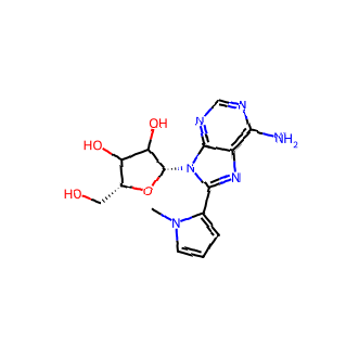 Cn1cccc1-c1nc2c(N)ncnc2n1[C@@H]1O[C@H](CO)C(O)C1O